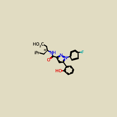 CC(C)C[C@@H](CC(=O)O)NC(=O)c1cc(-c2ccccc2O)n(C2=C=C=C(F)C=C2)n1